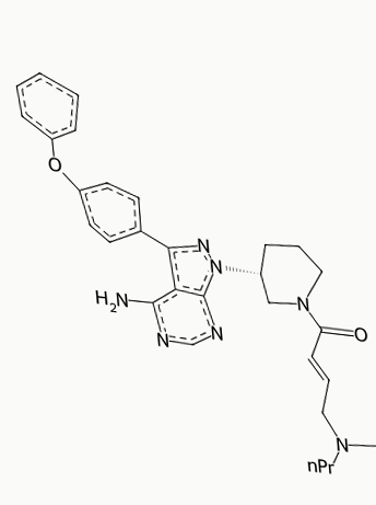 CCCN(C/C=C/C(=O)N1CCC[C@@H](n2nc(-c3ccc(Oc4ccccc4)cc3)c3c(N)ncnc32)C1)C1CC1